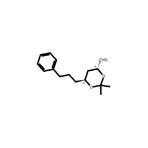 CC1(C)O[C@@H](CCCc2ccccc2)C[C@H](C=O)O1